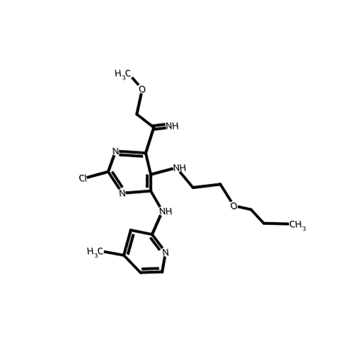 CCCOCCNc1c(Nc2cc(C)ccn2)nc(Cl)nc1C(=N)COC